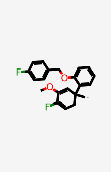 [CH2]C1(c2ccccc2OCc2ccc(F)cc2)C=C(OC)C(F)=CC1